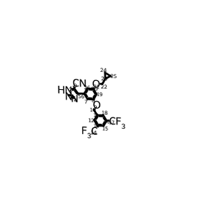 N#Cc1[nH]nnc1-c1cc(OCc2cc(C(F)(F)F)cc(C(F)(F)F)c2)cc(OCC2CC2)c1